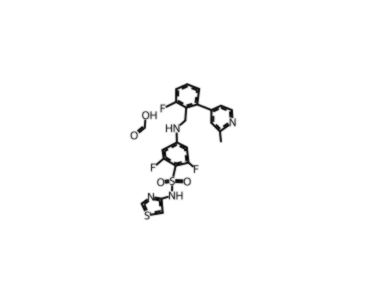 Cc1cc(-c2cccc(F)c2CNc2cc(F)c(S(=O)(=O)Nc3cscn3)c(F)c2)ccn1.O=CO